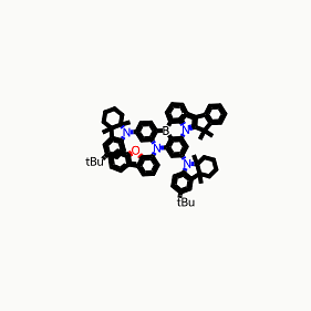 CC(C)(C)c1ccc2c(c1)C1(C)CCCCC1(C)N2c1ccc2c(c1)N(c1cccc3c1oc1ccccc13)c1cc(N3c4ccc(C(C)(C)C)cc4C4(C)CCCCC34C)cc3c1B2c1cccc2c4c(n-3c12)C(C)(C)c1ccccc1-4